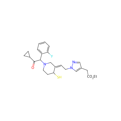 CCOC(=O)Cc1cnn(C/C=C2/CN(C(C(=O)C3CC3)c3ccccc3F)CCC2S)c1